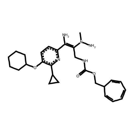 CN(N)/C(CNC(=O)OCC1C=CC=CC=C1)=C(\N)c1ccc(OC2CCCCC2)c(C2CC2)n1